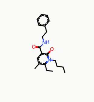 CCCCn1c(CC)c(C)cc(C(=O)NCCc2ccccc2)c1=O